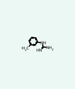 [CH2]c1cccc(NC(=N)N)c1